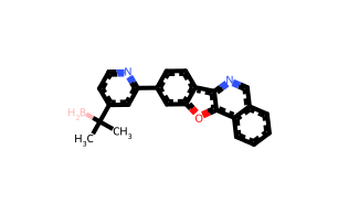 BC(C)(C)c1ccnc(-c2ccc3c(c2)oc2c4ccccc4cnc32)c1